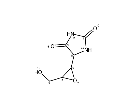 O=C1NC(=O)C(C2OC2CO)N1